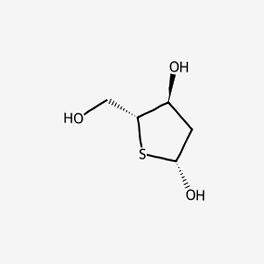 OC[C@H]1S[C@@H](O)C[C@@H]1O